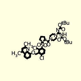 Cc1cc(C)c2cccc(OCc3c(Cl)ccc(S(=O)(=O)N4CCC[C@H]4C(=O)N4CCN(C(=NC(=O)OC(C)(C)C)NC(=O)OC(C)(C)C)CC4)c3Cl)c2n1